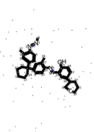 C/N=N/c1ccc(C2(c3ccc(/N=N/c4cc(C5CCCCC5)ccc4O)c(C)c3)CCCCC2)cc1C